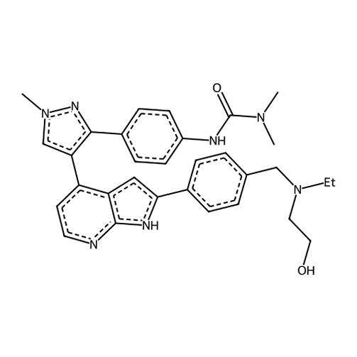 CCN(CCO)Cc1ccc(-c2cc3c(-c4cn(C)nc4-c4ccc(NC(=O)N(C)C)cc4)ccnc3[nH]2)cc1